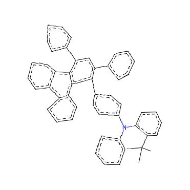 CC1(C)c2ccccc2N(c2ccc(-c3c(-c4ccccc4)cc(-c4ccccc4)c4c5ccccc5c5ccccc5c34)cc2)c2ccccc21